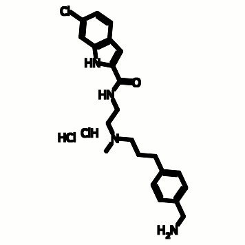 CN(CCCc1ccc(CN)cc1)CCNC(=O)c1cc2ccc(Cl)cc2[nH]1.Cl.Cl